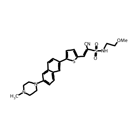 COCCNS(=O)(=O)/C(C#N)=C/c1ccc(-c2ccc3cc(N4CCN(C)CC4)ccc3c2)s1